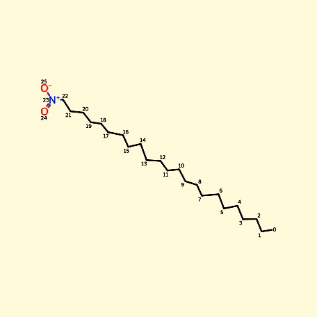 CCCCCCCCCCCCCCCCCCCCCCC[N+](=O)[O-]